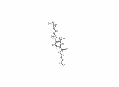 C=C(CCCCCC)c1ccc(CNCCCN=N)c(O)c1